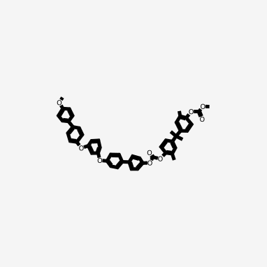 COC(=O)Oc1ccc(C(C)(C)c2ccc(OC(=O)Oc3ccc(-c4ccc(Oc5cccc(Oc6ccc(-c7ccc(OC)cc7)cc6)c5)cc4)cc3)c(C)c2)cc1C